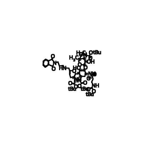 CN(C(=O)OC(C)(C)C)[C@@H]1[C@@H](O)[C@@H](O[C@@H]2[C@@H](O)[C@H](C3OC(CNCCCN4C(=O)c5ccccc5C4=O)=CC[C@H]3NC(=O)OC(C)(C)C)[C@@H](NC(=O)OC(C)(C)C)C[C@H]2NS(=O)(=O)CCNC(=O)OC(C)(C)C)OC[C@]1(C)O